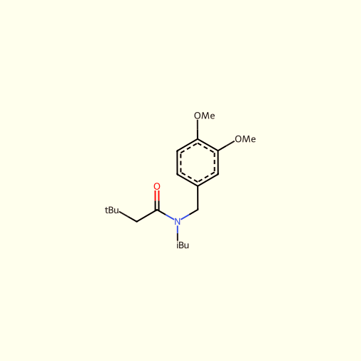 CCC(C)N(Cc1ccc(OC)c(OC)c1)C(=O)CC(C)(C)C